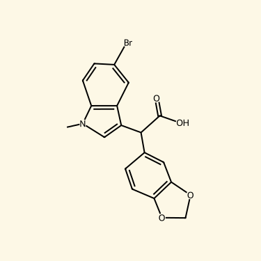 Cn1cc(C(C(=O)O)c2ccc3c(c2)OCO3)c2cc(Br)ccc21